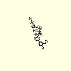 C=Cc1ccc(-c2csc(NC(=O)[C@H](COC)NC(=O)c3ccn(C(C)(C)C#N)c3)n2)cc1C=O